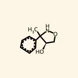 CC1(c2ccccc2)NOC[C@H]1O